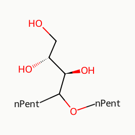 CCCCCOC(CCCCC)[C@H](O)[C@H](O)CO